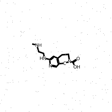 CNCCNc1cc2c(cn1)CN(C(=O)O)CC2